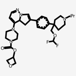 CC(C)N1CCC(COC(F)F)(c2ccc(C3=CN4N=CC=C(N5CCN(C(=O)OC6COC6)CC5)C4C3)cc2)CC1